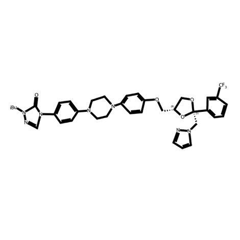 CCC(C)n1ncn(-c2ccc(N3CCN(c4ccc(OC[C@@H]5CO[C@@](Cn6cccn6)(c6cccc(C(F)(F)F)c6)O5)cc4)CC3)cc2)c1=O